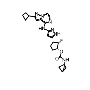 O=C(NC12CC(C1)C2)O[C@@H]1CC[C@H](c2cc(Nc3nccn4nc(C5CCC5)cc34)n[nH]2)[C@H]1F